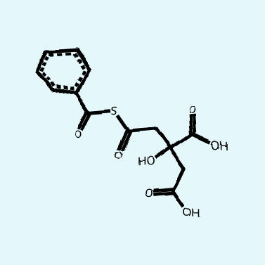 O=C(O)CC(O)(CC(=O)SC(=O)c1ccccc1)C(=O)O